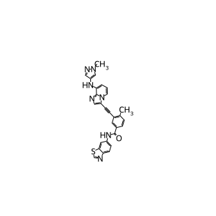 Cc1ccc(C(=O)Nc2ccc3ncsc3c2)cc1C#Cc1cnc2c(Nc3cnn(C)c3)cccn12